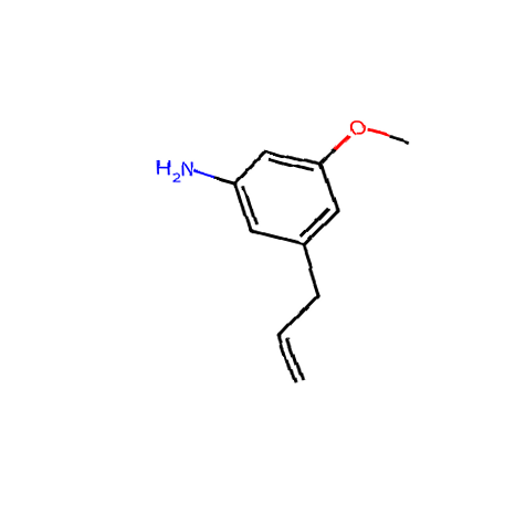 C=CCc1cc(N)cc(OC)c1